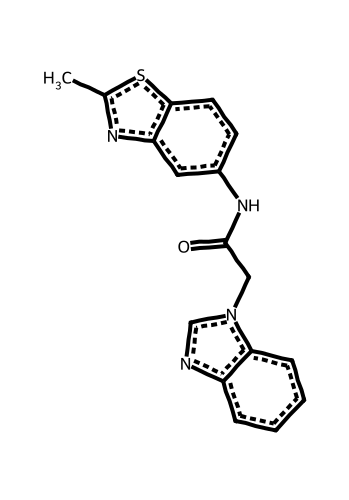 Cc1nc2cc(NC(=O)Cn3cnc4ccccc43)ccc2s1